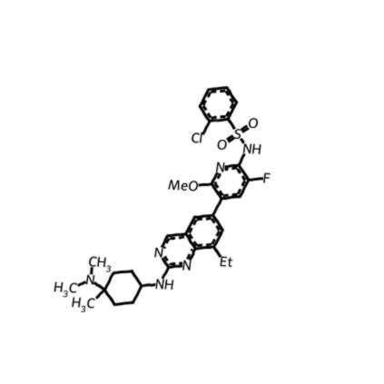 CCc1cc(-c2cc(F)c(NS(=O)(=O)c3ccccc3Cl)nc2OC)cc2cnc(NC3CCC(C)(N(C)C)CC3)nc12